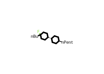 CCCCC[C@H]1CC[C@H](C2CCC(F)(CCCC)CC2)CC1